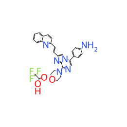 Nc1ccc(-c2cnc(N3CCOCC3)c3nc(C=Cc4ccc5ccccc5n4)cn23)cc1.O=C(O)C(F)(F)F